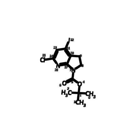 CC(C)(C)OC(=O)N1CCc2c(I)cc(Cl)nc21